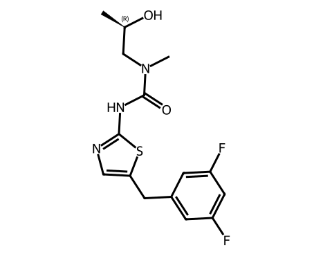 C[C@@H](O)CN(C)C(=O)Nc1ncc(Cc2cc(F)cc(F)c2)s1